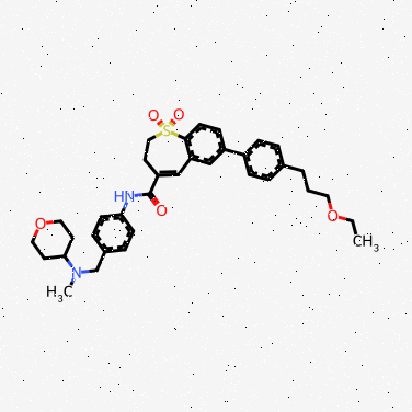 CCOCCCc1ccc(-c2ccc3c(c2)C=C(C(=O)Nc2ccc(CN(C)C4CCOCC4)cc2)CCS3(=O)=O)cc1